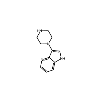 c1cnc2c(N3CCNCC3)c[nH]c2c1